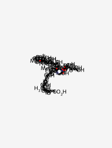 CCN(C(=O)CNC(=O)OCc1ccc(NC(=O)[C@H](C)NC(=O)[C@@H](NC(=O)CCCC(=O)O)C(C)C)cc1)C1COC(OC2C(O[C@H]3C#C/C=C\C#C[C@]4(O)CC(=O)C(NC(=O)OC)=C3/C4=C\CSSC(C)CCC(=O)NCC(O)CO)OC(C)C(NOC3CC(O)C(SC(=O)c4c(C)c(I)c(OC5OC6OC6C(OC)C5O)c(OC)c4OC)C(C)O3)C2O)CC1OC